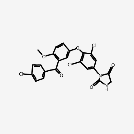 COc1ccc(Oc2c(Cl)cc(N3C(=O)CNC3=O)cc2Cl)cc1C(=O)c1ccc(Cl)cc1